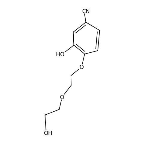 N#Cc1ccc(OCCOCCO)c(O)c1